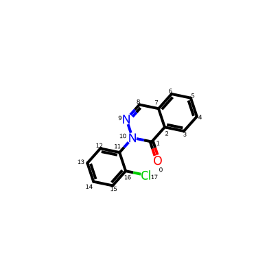 O=c1c2ccccc2cnn1-c1ccccc1Cl